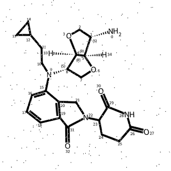 N[C@H]1CO[C@H]2[C@@H]1OC[C@@H]2N(CCC1CC1)c1cccc2c1CN(C1CCC(=O)NC1=O)C2=O